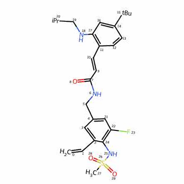 C=Cc1cc(CNC(=O)C=Cc2ccc(C(C)(C)C)cc2NCC(C)C)cc(F)c1NS(C)(=O)=O